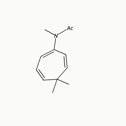 CC(=O)N(C)C1=CC=CC(C)(C)C=C1